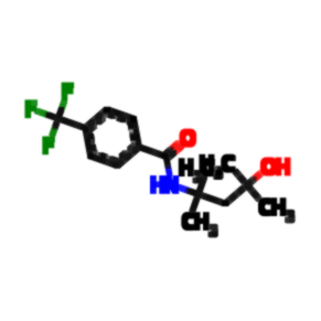 CC(C)(O)CC(C)(C)NC(=O)c1ccc(C(F)(F)F)cc1